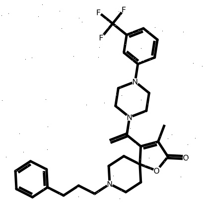 C=C(C1=C(C)C(=O)OC12CCN(CCCc1ccccc1)CC2)N1CCN(c2cccc(C(F)(F)F)c2)CC1